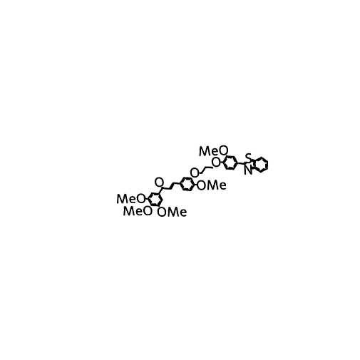 COc1cc(-c2nc3ccccc3s2)ccc1OCCCOc1cc(/C=C/C(=O)c2cc(OC)c(OC)c(OC)c2)ccc1OC